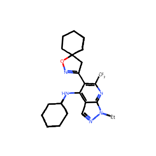 CCn1ncc2c(NC3CCCCC3)c(C3=NOC4(CCCCC4)C3)c(C(F)(F)F)nc21